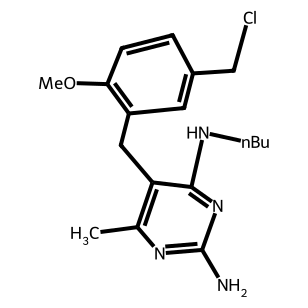 CCCCNc1nc(N)nc(C)c1Cc1cc(CCl)ccc1OC